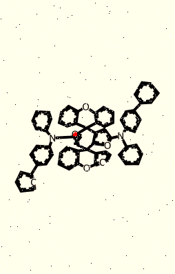 c1ccc(-c2ccc(N(c3ccccc3)c3cc4c(o3)C3(c5ccccc5Oc5ccccc53)c3cc(N(c5ccccc5)c5ccc(-c6ccccc6)cc5)oc3C43c4ccccc4Oc4ccccc43)cc2)cc1